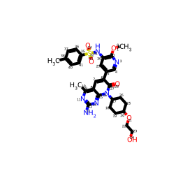 COc1ncc(-c2cc3c(C)nc(N)nc3n(C3CCC(OCCO)CC3)c2=O)cc1NS(=O)(=O)c1ccc(C)cc1